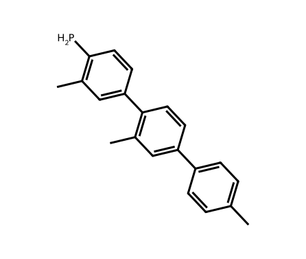 Cc1ccc(-c2ccc(-c3ccc(P)c(C)c3)c(C)c2)cc1